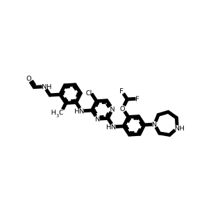 Cc1c(CNC=O)cccc1Nc1nc(Nc2ccc(N3CCCNCC3)cc2OC(F)F)ncc1Cl